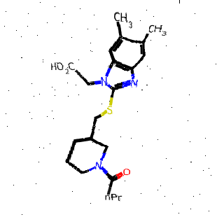 CCCC(=O)N1CCCC(CSc2nc3cc(C)c(C)cc3n2CC(=O)O)C1